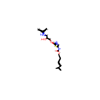 CC(C)CCCCOC(=O)Nc1cnc(OCC(O)CNC(C)C)s1